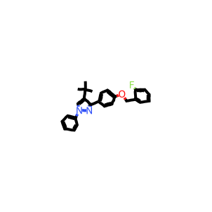 CC(C)(C)c1cn(-c2ccccc2)nc1-c1ccc(OCc2ccccc2F)cc1